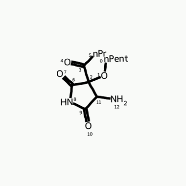 CCCCCOC1(C(=O)CCC)C(=O)NC(=O)C1N